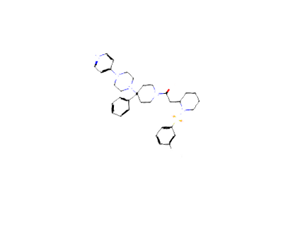 O=C(CC1CCCCN1S(=O)(=O)c1cccc(C(F)(F)F)c1)N1CCC(c2ccccc2)(N2CCN(c3ccncc3)CC2)CC1